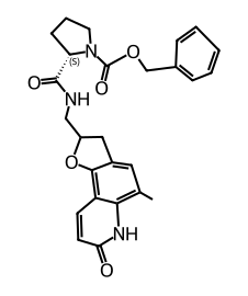 Cc1cc2c(c3ccc(=O)[nH]c13)OC(CNC(=O)[C@@H]1CCCN1C(=O)OCc1ccccc1)C2